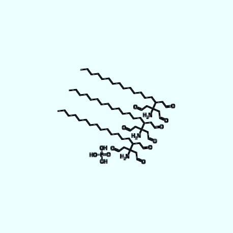 CCCCCCCCCCCCCCC(CC=O)C(N)(CC=O)CC=O.CCCCCCCCCCCCCCC(CC=O)C(N)(CC=O)CC=O.CCCCCCCCCCCCCCC(CC=O)C(N)(CC=O)CC=O.O=P(O)(O)O